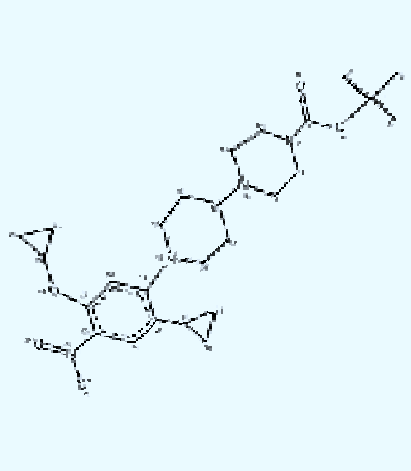 CC(C)(C)OC(=O)N1CCN(C2CCN(c3cc(OC4CC4)c([N+](=O)[O-])cc3C3CC3)CC2)CC1